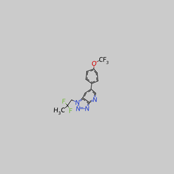 CC(F)(F)Cn1nnc2ncc(-c3ccc(OC(F)(F)F)cc3)cc21